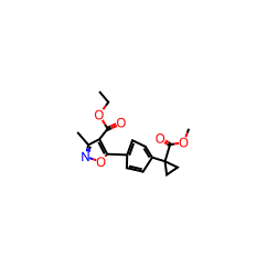 CCOC(=O)c1c(C)noc1-c1ccc(C2(C(=O)OC)CC2)cc1